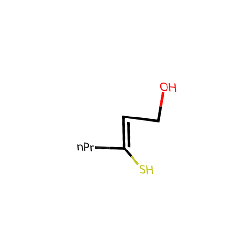 CCC/C(S)=C/CO